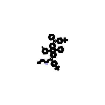 C=C/C=C\C=C/CN(c1ccc(C(C)(C)C)cc1)c1ccc2c(C3C=CC=CC3)c3c(c(C4=C[C@H](C)CC=C4)c2c1)CCC(N(C1=CC=CCC1)C1C=CC(C(C)(C)C)=CC1)=C3